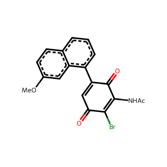 COc1ccc2cccc(C3=CC(=O)C(Br)=C(NC(C)=O)C3=O)c2c1